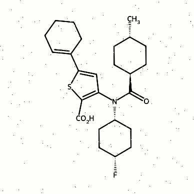 C[C@H]1CC[C@H](C(=O)N(c2cc(C3=CCCCC3)sc2C(=O)O)[C@H]2CC[C@@H](F)CC2)CC1